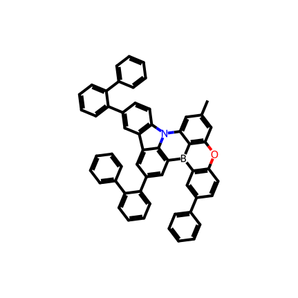 Cc1cc2c3c(c1)-n1c4ccc(-c5ccccc5-c5ccccc5)cc4c4cc(-c5ccccc5-c5ccccc5)cc(c41)B3c1cc(-c3ccccc3)ccc1O2